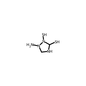 NN1CNC(S)N1S